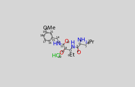 CCC(NC(=O)C(N)CC(C)C)C(=O)C(=O)NCc1cccc(OC)c1.Cl